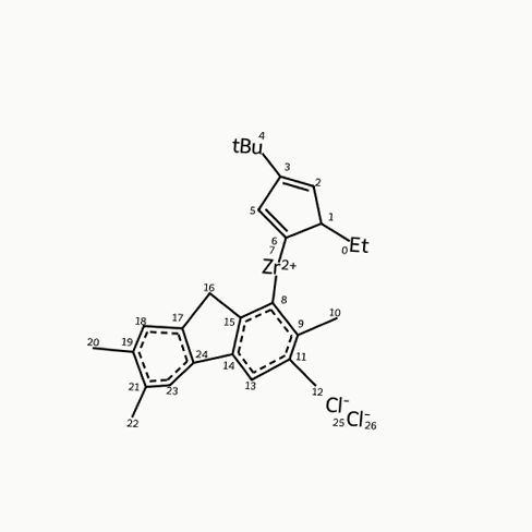 CCC1C=C(C(C)(C)C)C=[C]1[Zr+2][c]1c(C)c(C)cc2c1Cc1cc(C)c(C)cc1-2.[Cl-].[Cl-]